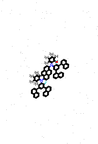 [2H]c1c([2H])c([2H])c(N(c2cc(-c3cccc4ccccc34)cc(-c3cccc4ccccc34)c2F)c2ccc3ccc4c(N(c5cc(-c6cccc7ccccc67)cc(-c6cccc7ccccc67)c5F)c5c([2H])c([2H])c([2H])c([2H])c5[2H])ccc5ccc2c3c54)c([2H])c1[2H]